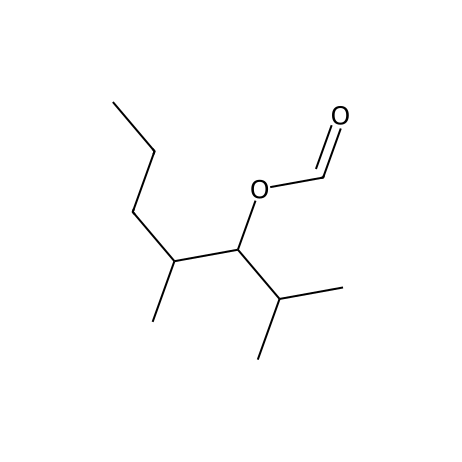 CCCC(C)C(OC=O)C(C)C